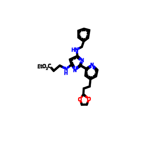 CCOC(=O)CCNc1cc(NCc2ccccc2)nc(-c2cc(CCC3OCCO3)ccn2)n1